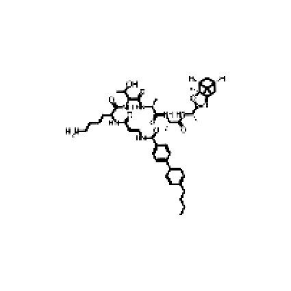 CCCCc1ccc(-c2ccc(C(=O)NCCC(=O)N[C@@H](CCCCN)C(=O)N[C@H](C(=O)N[C@@H](C)C(=O)N[C@@H](C)C(=O)N[C@@H](C)B3OC4C[C@@H]5C[C@@H](C5(C)C)[C@]4(C)O3)C(C)O)cc2)cc1